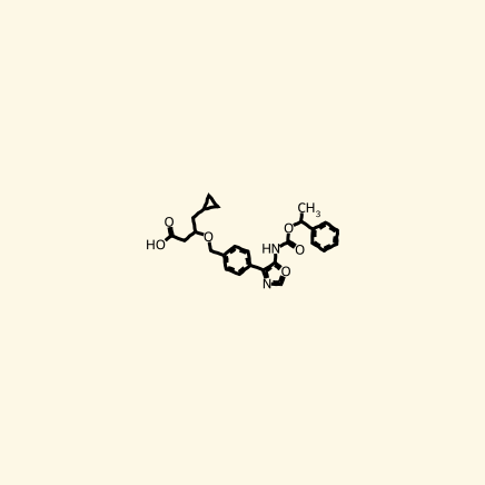 CC(OC(=O)Nc1ocnc1-c1ccc(COC(CC(=O)O)CC2CC2)cc1)c1ccccc1